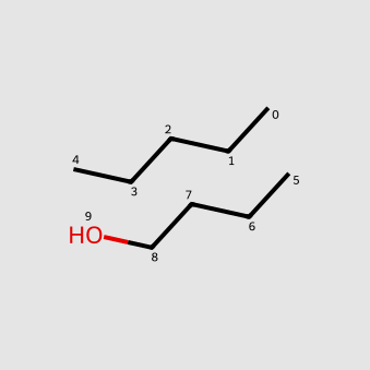 CCCCC.CCCCO